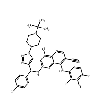 CC(C)(C)N1CCC(n2cc(C(Nc3cc(Cl)c4ncc(C#N)c(Nc5ccc(F)c(Cl)c5F)c4c3)c3ccc(Cl)cc3)nn2)CC1